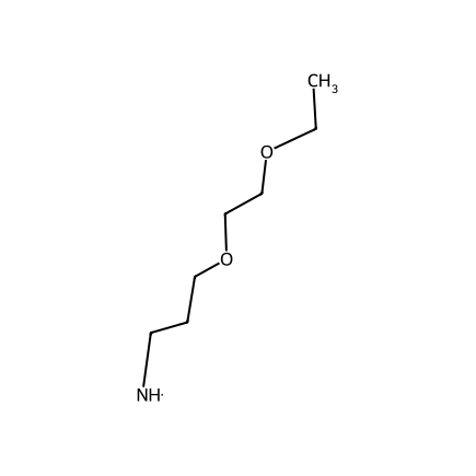 CCOCCOCCC[NH]